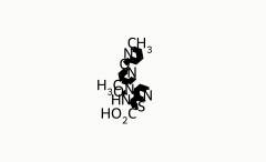 Cc1cccc(Oc2cc(C)c(N3C(=O)Nc4c(C(=O)O)sc5nccc3c45)cn2)n1